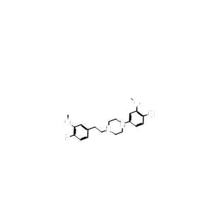 COc1cc(CCN2CCN(c3ccc(Cl)c(OC)c3)CC2)ccc1F